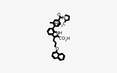 Cc1cc(C(=O)N2CCCC2C(=O)O)ccc1-c1cccc2c(CCCOc3cccc4ccccc34)c(C(=O)O)[nH]c12